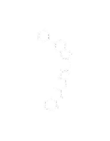 O=C(Cc1nnc(Cc2nc3ccc(-c4ccccc4)cc3s2)o1)Nc1ccncn1